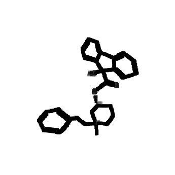 C[N+]1(CCc2ccccc2)CCC[C@@H](OC(=O)C2(O)c3ccccc3-c3ccccc32)C1